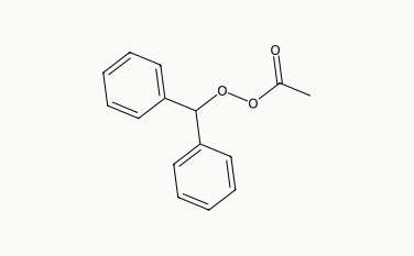 CC(=O)OOC(c1ccccc1)c1ccccc1